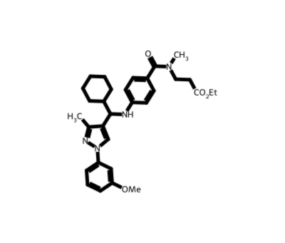 CCOC(=O)CCN(C)C(=O)c1ccc(NC(c2cn(-c3cccc(OC)c3)nc2C)C2CCCCC2)cc1